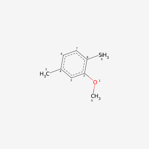 COc1cc(C)ccc1[SiH3]